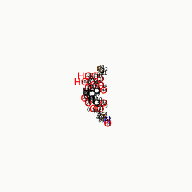 COc1cc([C@@H]2c3cc4c(cc3[C@@H](OC3OC5COC(c6cccs6)OC5C(O)C3O)[C@H]3COC(=O)[C@H]23)OCO4)cc(OC)c1OC(C)c1ccc(N=O)s1